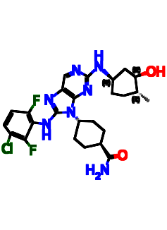 C[C@@H]1CC[C@@H](Nc2ncc3nc(Nc4c(F)ccc(Cl)c4F)n([C@H]4CC[C@H](C(N)=O)CC4)c3n2)C[C@H]1O